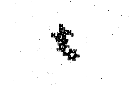 CC(C)(C)OC(=O)C1(F)CCN(Cc2ccccc2)C1